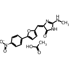 CC(=O)O.CNC1=NC(=Cc2ccc(-c3ccc([N+](=O)[O-])cc3)o2)C(=O)N1